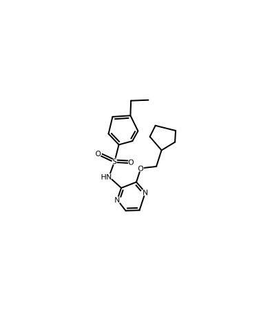 CCc1ccc(S(=O)(=O)Nc2nccnc2OCC2CCCC2)cc1